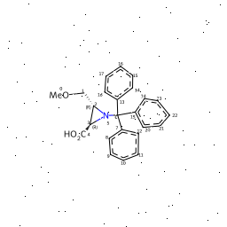 COC[C@H]1[C@H](C(=O)O)N1C(c1ccccc1)(c1ccccc1)c1ccccc1